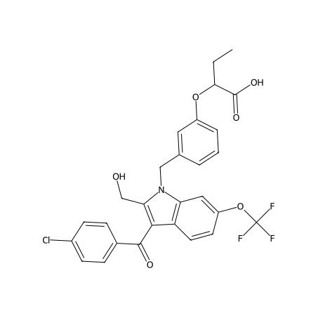 CCC(Oc1cccc(Cn2c(CO)c(C(=O)c3ccc(Cl)cc3)c3ccc(OC(F)(F)F)cc32)c1)C(=O)O